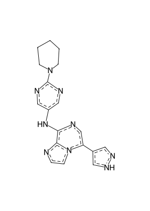 c1cn2c(-c3cn[nH]c3)cnc(Nc3cnc(N4CCCCC4)nc3)c2n1